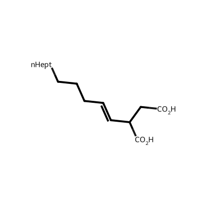 CCCCCCCCCC/C=C/C(CC(=O)O)C(=O)O